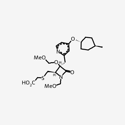 COCO[C@@]1(Cc2cc(O[C@H]3CC[C@H](C)CC3)ccn2)C(=O)N(COC)[C@H]1CSCC(=O)O